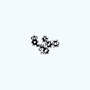 O=C(CC1CNCCN1c1cc(N2CCOCC2)nc(-n2ccnc2)n1)NCc1ccc2c(c1)OCO2